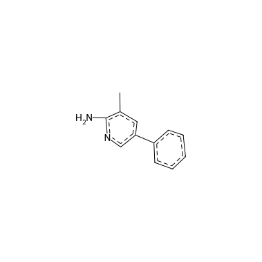 Cc1cc(-c2ccccc2)cnc1N